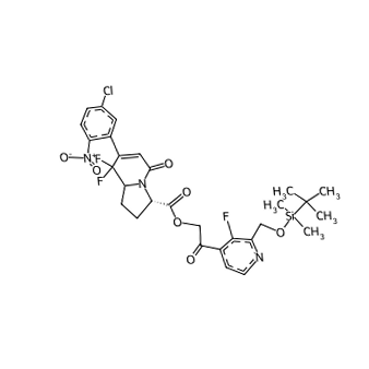 CC(C)(C)[Si](C)(C)OCc1nccc(C(=O)COC(=O)[C@@H]2CCC3N2C(=O)C=C(c2cc(Cl)ccc2[N+](=O)[O-])C3(F)F)c1F